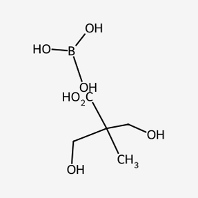 CC(CO)(CO)C(=O)O.OB(O)O